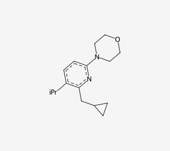 CC(C)c1ccc(N2CCOCC2)nc1CC1CC1